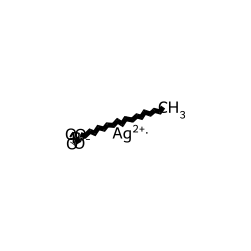 CCCCCCCCCCCCCCCCCCOP(=O)([O-])[O-].[Ag+2]